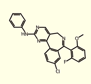 COc1cccc(F)c1C1=NCc2cnc(Nc3ccccc3)nc2-c2ccc(Cl)cc21